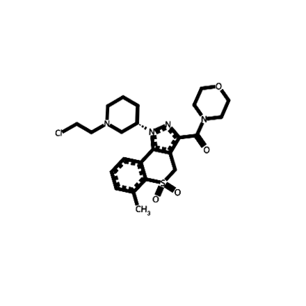 Cc1cccc2c1S(=O)(=O)Cc1c(C(=O)N3CCOCC3)nn([C@H]3CCCN(CCCl)C3)c1-2